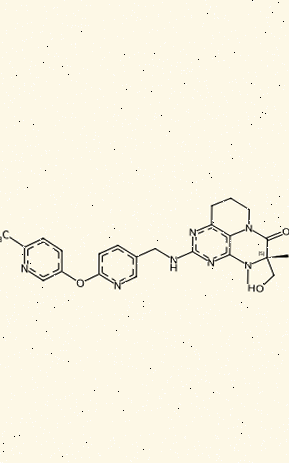 CN1c2nc(NCc3ccc(Oc4ccc(C(F)(F)F)nc4)nc3)nc3c2N(CCC3)C(=O)[C@]1(C)CO